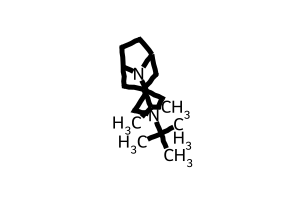 CC(C)C1CC2CCC(C1)N2C1CN(C(C)(C)C)C1